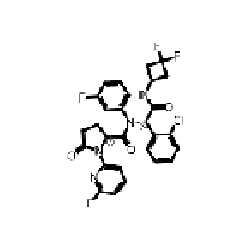 O=C(NC1CC(F)(F)C1)[C@H](c1ccccc1Cl)N(C(=O)[C@@H]1CCC(=O)N1c1cccc(F)n1)c1cccc(F)c1